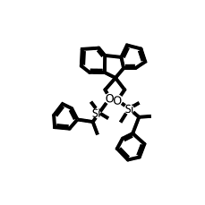 CC(c1ccccc1)[Si](C)(C)OCC1(CO[Si](C)(C)C(C)c2ccccc2)c2ccccc2-c2ccccc21